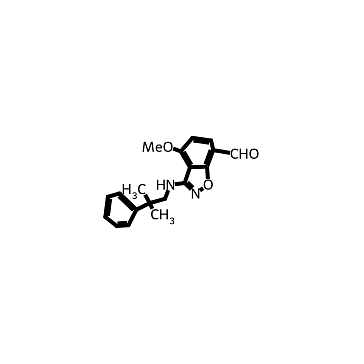 COc1ccc(C=O)c2onc(NCC(C)(C)c3ccccc3)c12